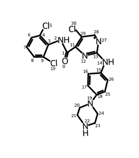 O=C(Nc1c(Cl)cccc1Cl)c1nc(Nc2ccc(N3CCNCC3)cc2)ncc1Cl